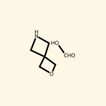 C1NCC12COC2.O=CO